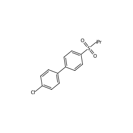 CC(C)S(=O)(=O)c1ccc(-c2ccc(Cl)cc2)cc1